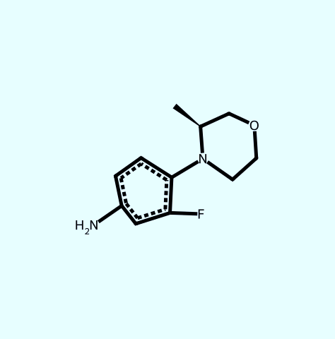 C[C@H]1COCCN1c1ccc(N)cc1F